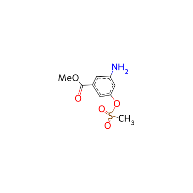 COC(=O)c1cc(N)cc(OS(C)(=O)=O)c1